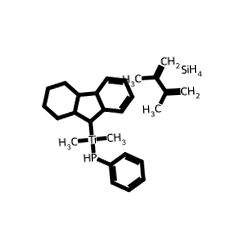 C=C(C)C(=C)C.[CH3][Ti]([CH3])([PH]c1ccccc1)[CH]1C2C=CC=CC2C2CCCCC21.[SiH4]